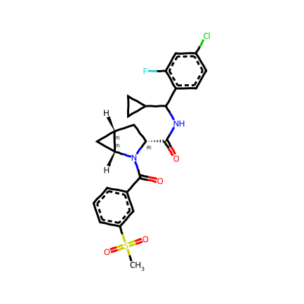 CS(=O)(=O)c1cccc(C(=O)N2[C@@H](C(=O)NC(c3ccc(Cl)cc3F)C3CC3)C[C@H]3C[C@H]32)c1